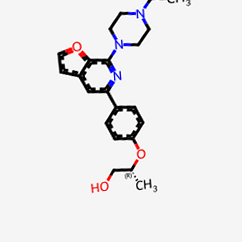 CCN1CCN(c2nc(-c3ccc(O[C@H](C)CO)cc3)cc3ccoc23)CC1